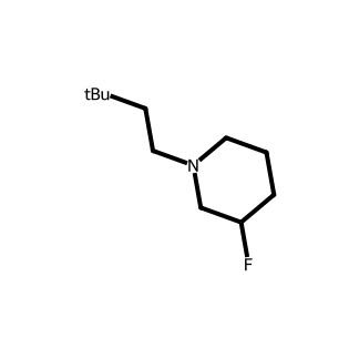 CC(C)(C)CCN1CCCC(F)C1